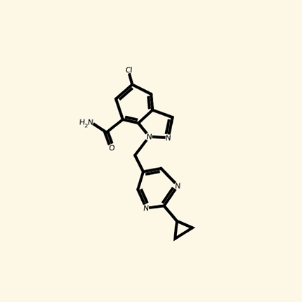 NC(=O)c1cc(Cl)cc2cnn(Cc3cnc(C4CC4)nc3)c12